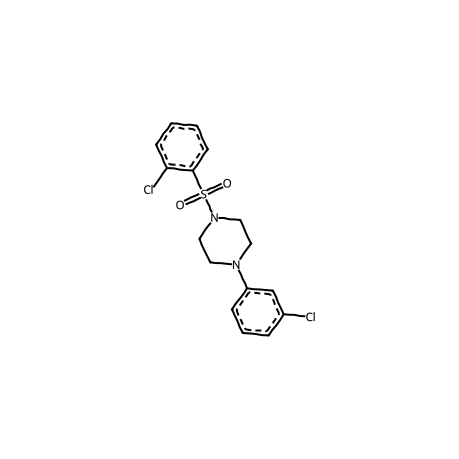 O=S(=O)(c1ccccc1Cl)N1CCN(c2cccc(Cl)c2)CC1